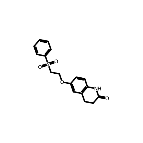 O=C1CCc2cc(OCCS(=O)(=O)c3ccccc3)ccc2N1